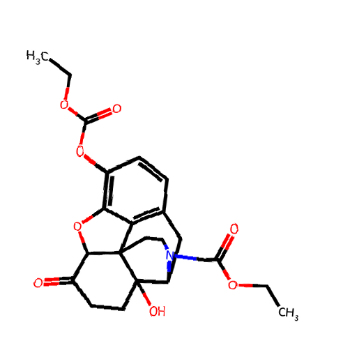 CCOC(=O)Oc1ccc2c3c1OC1C(=O)CCC4(O)C(C2)N(C(=O)OCC)CCC314